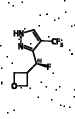 F[C@H](c1n[nH]cc1C(F)(F)F)C1COC1